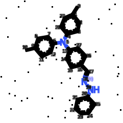 Cc1ccc(N(c2ccc(C)cc2)c2ccc(/C=N/Nc3ccccc3)cc2)cc1